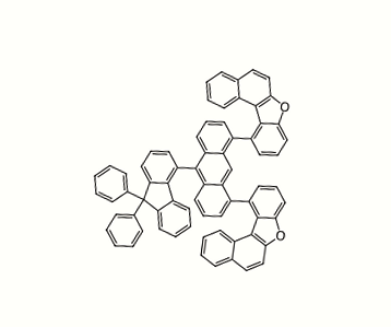 c1ccc(C2(c3ccccc3)c3ccccc3-c3c(-c4c5cccc(-c6cccc7oc8ccc9ccccc9c8c67)c5cc5c(-c6cccc7oc8ccc9ccccc9c8c67)cccc45)cccc32)cc1